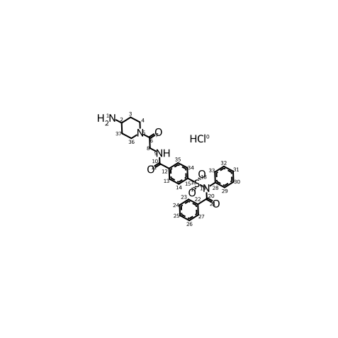 Cl.NC1CCN(C(=O)CNC(=O)c2ccc(S(=O)(=O)N(C(=O)c3ccccc3)c3ccccc3)cc2)CC1